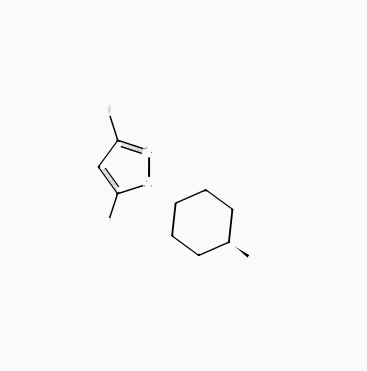 CC(C)c1cc(C(C)C)n([C@H]2CC[C@H](O)CC2)n1